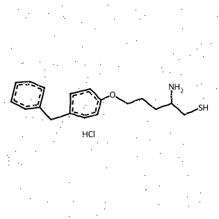 Cl.NC(CS)CCCOc1ccc(Cc2ccccc2)cc1